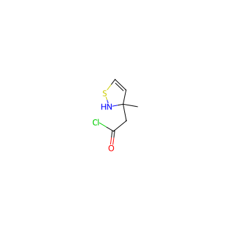 CC1(CC(=O)Cl)C=CSN1